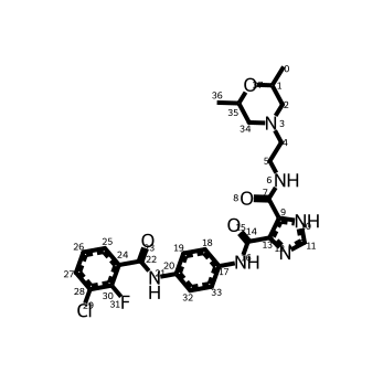 CC1CN(CCNC(=O)c2[nH]cnc2C(=O)Nc2ccc(NC(=O)c3cccc(Cl)c3F)cc2)CC(C)O1